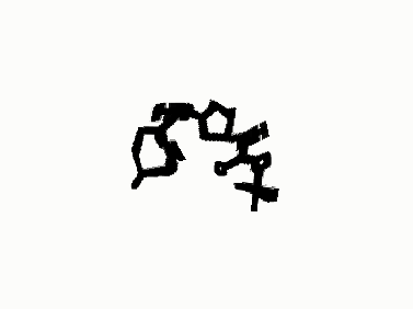 Cc1ccc(N[C@H]2CC[C@H](NC(=O)OC(C)(C)C)C2)nc1